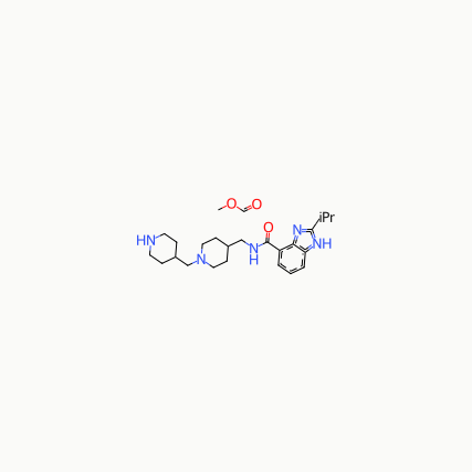 CC(C)c1nc2c(C(=O)NCC3CCN(CC4CCNCC4)CC3)cccc2[nH]1.COC=O